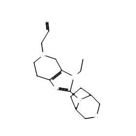 CC[SH]1C(N2C3CCC2CNC3)=NC2=C1CN(CC=O)CC2